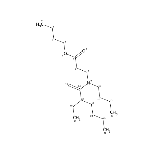 CCCCOC(=O)CCN(CCCC)C(=O)C(CC)CCCC